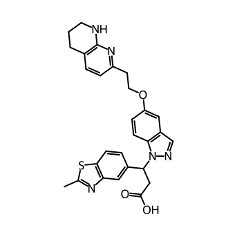 Cc1nc2cc(C(CC(=O)O)n3ncc4cc(OCCc5ccc6c(n5)NCCC6)ccc43)ccc2s1